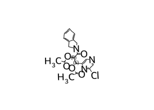 CC(=O)O[C@@H](C(=O)N1Cc2ccccc2C1)[C@@H](OC(C)=O)c1cncc(Cl)n1